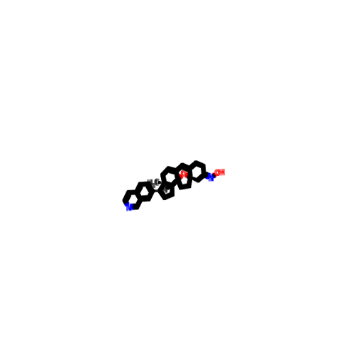 C[C@]12CC=C3C=C4CC/C(=N\O)C[C@]45CCC3(O5)[C@@H]1CC[C@@H]2c1ccc2ccncc2c1